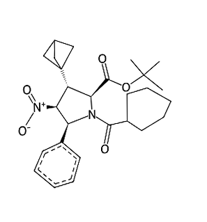 CC(C)(C)OC(=O)[C@@H]1[C@@H](C23CC(C2)C3)[C@H]([N+](=O)[O-])[C@H](c2ccccc2)N1C(=O)C1CCCCC1